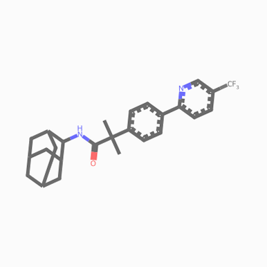 CC(C)(C(=O)NC1C2CC3CC(C2)CC1C3)c1ccc(-c2ccc(C(F)(F)F)cn2)cc1